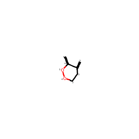 C=C1CCOOC1=C